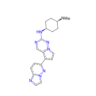 CN[C@H]1CC[C@@H](Nc2ncc3c(-c4ccc5nccn5n4)ccn3n2)CC1